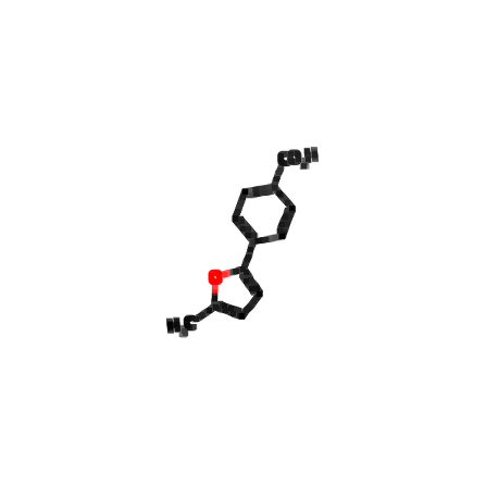 Cc1ccc(-c2ccc(C(=O)O)cc2)o1